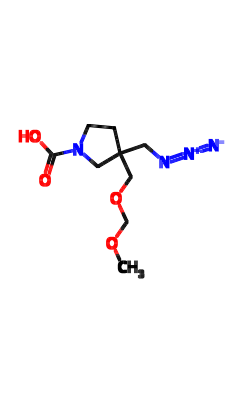 COCOCC1(CN=[N+]=[N-])CCN(C(=O)O)C1